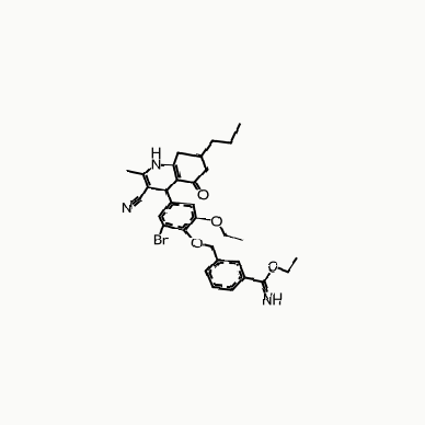 CCCC1CC(=O)C2=C(C1)NC(C)=C(C#N)C2c1cc(Br)c(OCc2cccc(C(=N)OCC)c2)c(OCC)c1